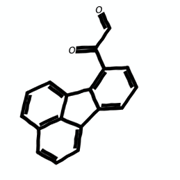 O=CC(=O)c1cccc2c1-c1cccc3cccc-2c13